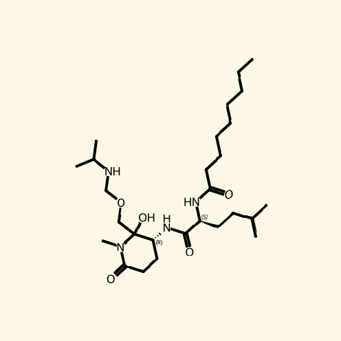 CCCCCCCCC(=O)N[C@@H](CCC(C)C)C(=O)N[C@@H]1CCC(=O)N(C)C1(O)COCNC(C)C